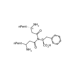 CCCCCC(N)CC(=O)N(C(=O)C[C@@H](N)CCCCC)[C@@H](Cc1ccccc1)C(=O)O